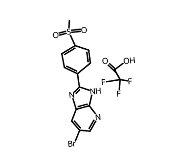 CS(=O)(=O)c1ccc(-c2nc3cc(Br)cnc3[nH]2)cc1.O=C(O)C(F)(F)F